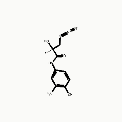 C[C@](O)(CN=[N+]=[N-])C(=O)Nc1ccc(C#N)c(C(F)(F)F)c1